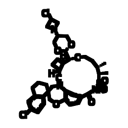 C[C@@H]1[C@@H](C)CCC[C@@H]([C@H]2OC[C@H](N3CC(Cl)C3)CO2)[C@@H]2CC[C@H]2CN2C[C@@]3(CCCc4cc(Cl)ccc43)COc3ccc(cc32)C(=O)NS1(=O)=O